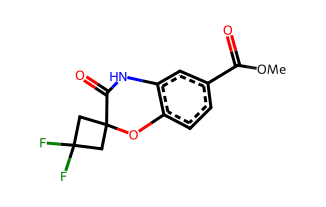 COC(=O)c1ccc2c(c1)NC(=O)C1(CC(F)(F)C1)O2